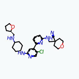 N#CC1(CNc2cccc(-c3cc(NC4CCC(NC[C@H]5CCCO5)CC4)ncc3Cl)n2)CCOCC1